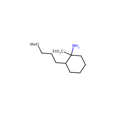 CCOC(=O)C1(N)CCCCC1CCCOC